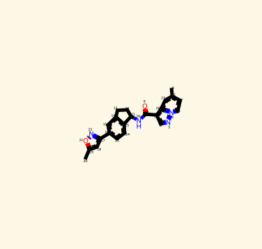 Cc1ccn2ncc(C(=O)NC3CCc4cc(-c5cc(C)on5)ccc43)c2c1